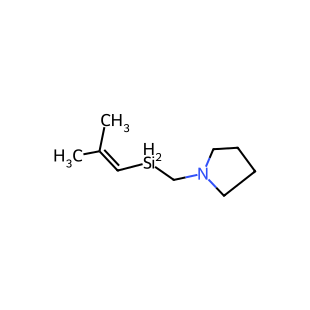 CC(C)=C[SiH2]CN1CCCC1